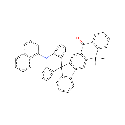 CC1(C)c2ccccc2C(=O)c2cc3c(cc21)-c1ccccc1C31c2ccccc2N(c2cccc3ccccc23)c2ccccc21